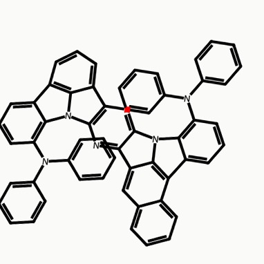 c1ccc(N(c2ccccc2)c2cccc3c4cccc5c6nc7c(nc6n(c23)c45)c2cc3ccccc3c3c4cccc(N(c5ccccc5)c5ccccc5)c4n7c23)cc1